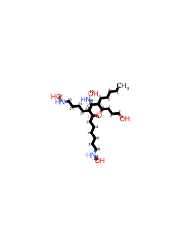 CCCCCC1C(CCCO)OC(CCCCCCNO)C(CCCCNO)C1NO